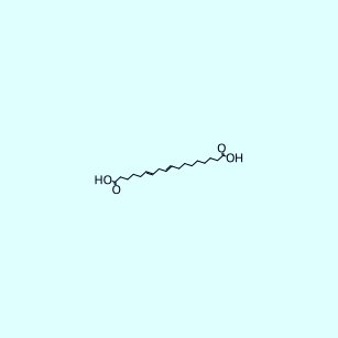 O=C(O)CCCC/C=C/C/C=C/CCCCCCCC(=O)O